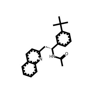 CC(=O)N[C@H](Cc1ccc2ccccc2n1)c1cccc(C(C)(C)C)c1